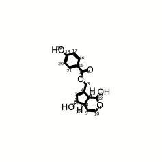 O=C(OCC1=C[C@@H](O)[C@@H]2C=COC(O)[C@H]12)c1ccc(O)cc1